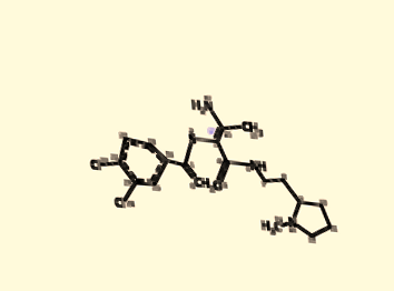 C=C(S/C(C(=O)NCCC1CCCN1C)=C(/C)N)c1ccc(Cl)c(Cl)c1